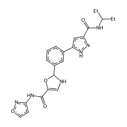 CCC(CC)NC(=O)c1cc(-c2cccc(C3NC=C(C(=O)Nc4ccon4)O3)c2)[nH]n1